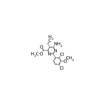 C=Cc1c(N)nc(-c2ccc(Cl)c(OC)c2Cl)nc1C(=O)OC